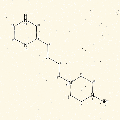 CC(C)N1CCN(CCCCC2CNCC[N]2)CC1